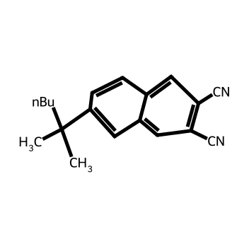 CCCCC(C)(C)c1ccc2cc(C#N)c(C#N)cc2c1